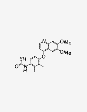 COc1cc2nccc(Oc3ccc(NC(=O)S)c(C)c3C)c2cc1OC